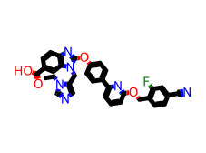 CCn1cncc1Cn1c(Oc2ccc(-c3cccc(OCc4ccc(C#N)cc4F)n3)cc2)nc2ccc(C(=O)O)cc21